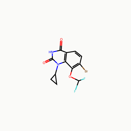 O=c1[nH]c(=O)n(C2CC2)c2c(OC(F)F)c(Br)ccc12